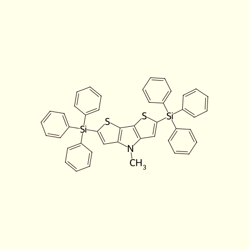 Cn1c2cc([Si](c3ccccc3)(c3ccccc3)c3ccccc3)sc2c2sc([Si](c3ccccc3)(c3ccccc3)c3ccccc3)cc21